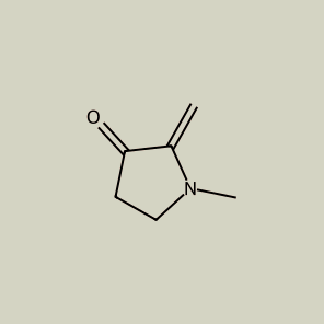 C=C1C(=O)CCN1C